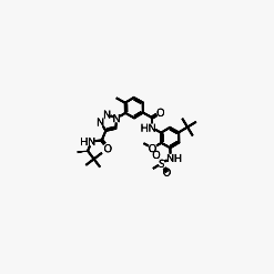 COc1c(NC(=O)c2ccc(C)c(-n3cc(C(=O)N[C@H](C)C(C)(C)C)nn3)c2)cc(C(C)(C)C)cc1NS(C)(=O)=O